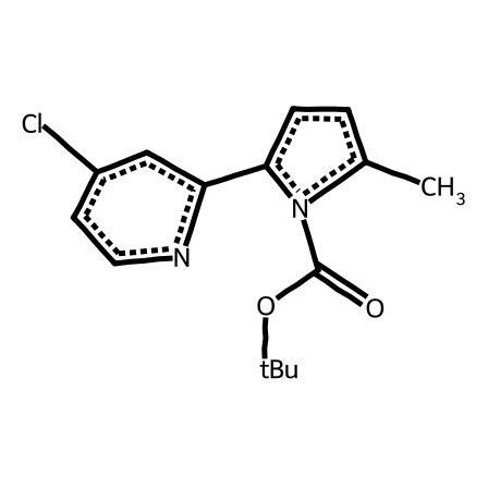 Cc1ccc(-c2cc(Cl)ccn2)n1C(=O)OC(C)(C)C